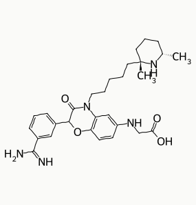 C[C@H]1CCC[C@@](C)(CCCCCN2C(=O)C(c3cccc(C(=N)N)c3)Oc3ccc(NCC(=O)O)cc32)N1